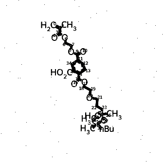 C=C(C)C(=O)OCCOC(=O)c1ccc(C(=O)OCCOCCC[Si](C)(C)O[Si](C)(C)CCCC)c(C(=O)O)c1